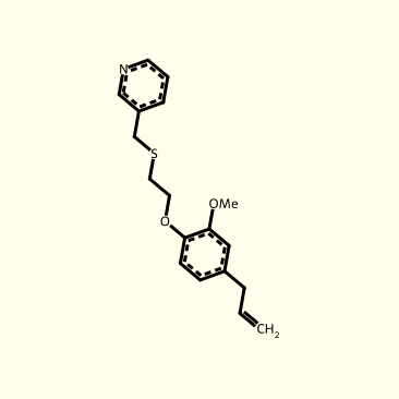 C=CCc1ccc(OCCSCc2cccnc2)c(OC)c1